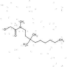 CCCCCCC(C)(C)CCN(C)C(=O)CCl